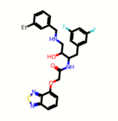 CCc1cccc(CNCC(O)C(Cc2cc(F)cc(F)c2)NC(=O)COc2cccc3nsnc23)c1